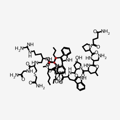 CCCCC(C(=O)N(C)C(CCCC)C(=O)NC(CCCNC(=N)N)CNC(CSCC(N)=O)C(=O)NCC(N)=O)N(C)C(=O)C(Cc1c(-c2ccc(OCC)cc2)[nH]c2ccccc12)NC(=O)[C@H](CO)NC(=O)C(Cc1c[nH]c2ccccc12)NC(=O)C1C[C@@H](O)CN1C(=O)C(CC(C)C)NC(=O)C(CN)NC(=O)C1CCCN1C(=O)CCC(N)=O